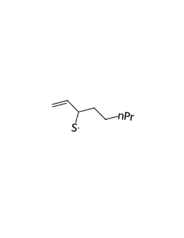 C=CC([S])CCCCC